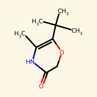 CC1=C(C(C)(C)C)OCC(=O)N1